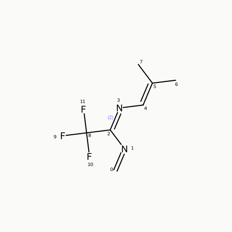 C=N/C(=N\C=C(C)C)C(F)(F)F